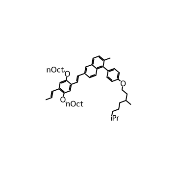 C/C=C/c1cc(OCCCCCCCC)c(/C=C/c2ccc3c(-c4ccc(OCCC(C)CCCC(C)C)cc4)c(C)ccc3c2)cc1OCCCCCCCC